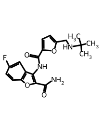 CC(C)(C)NCc1ccc(C(=O)Nc2c(C(N)=O)oc3ccc(F)cc23)o1